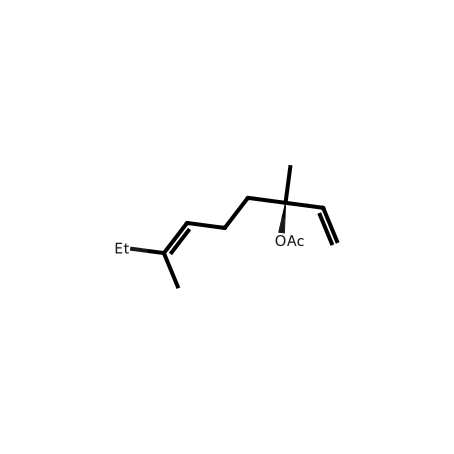 C=C[C@@](C)(CCC=C(C)CC)OC(C)=O